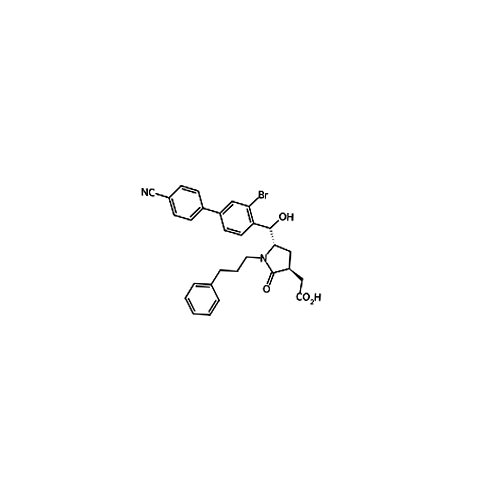 N#Cc1ccc(-c2ccc(C(O)[C@@H]3C[C@@H](CC(=O)O)C(=O)N3CCCc3ccccc3)c(Br)c2)cc1